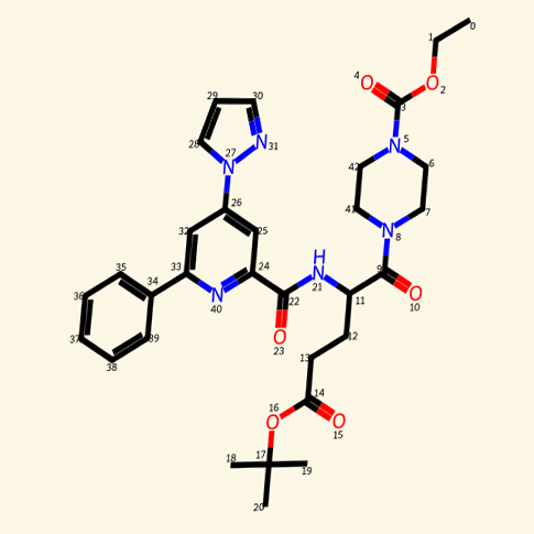 CCOC(=O)N1CCN(C(=O)C(CCC(=O)OC(C)(C)C)NC(=O)c2cc(-n3cccn3)cc(-c3ccccc3)n2)CC1